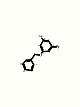 [2H]c1cc(Br)cc(OCc2ccccc2)c1